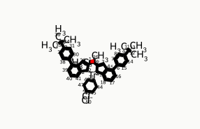 CCC1=Cc2c(-c3ccc(C(C)(C)C)cc3)cccc2[CH]1[Ti+2]1([CH]2C(CC)=Cc3c(-c4ccc(C(C)(C)C)cc4)cccc32)[CH]2CCCC[CH]21.[Cl-].[Cl-]